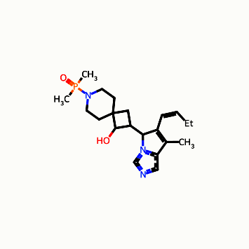 CC/C=C\C1=C(C)c2cncn2C1C1CC2(CCN(P(C)(C)=O)CC2)C1O